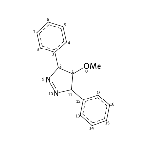 COC1C(c2ccccc2)N=NC1c1ccccc1